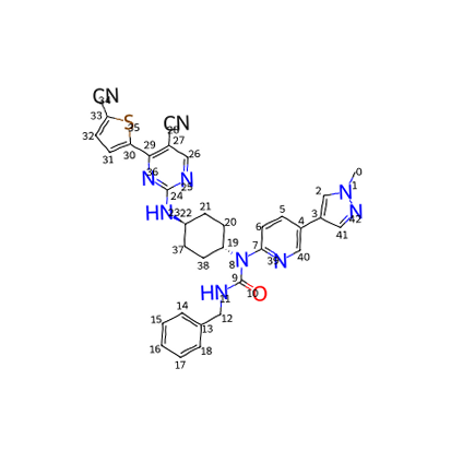 Cn1cc(-c2ccc(N(C(=O)NCc3ccccc3)[C@H]3CC[C@H](Nc4ncc(C#N)c(-c5ccc(C#N)s5)n4)CC3)nc2)cn1